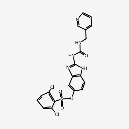 O=C(NCc1cccnc1)Nc1nc2cc(OS(=O)(=O)c3c(Cl)cccc3Cl)ccc2[nH]1